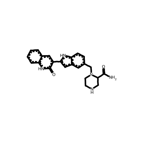 NC(=O)C1CNCCN1Cc1ccc2[nH]c(-c3cc4ccccc4[nH]c3=O)cc2c1